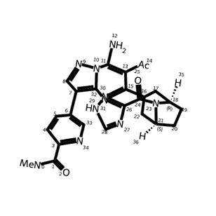 CNC(=O)c1ccc(-c2cnn3c(N)c(C(C)=O)c(C4C[C@H]5CC[C@@H](C4)N5C(=O)c4nc[nH]n4)nc23)cn1